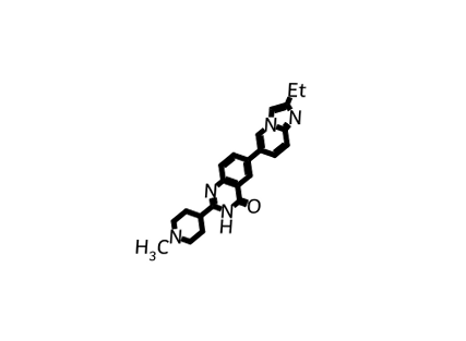 CCc1cn2cc(-c3ccc4nc(C5CCN(C)CC5)[nH]c(=O)c4c3)ccc2n1